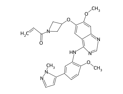 C=CC(=O)N1CC(Oc2cc3c(Nc4cc(-c5ccnn5C)ccc4OC)ncnc3cc2OC)C1